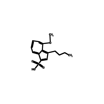 CCCCc1cc(S(=O)(=O)O)c2ccccc(OC)c1-2